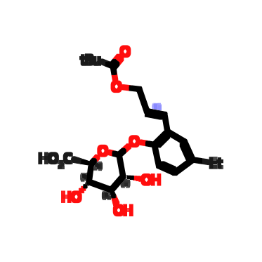 CCc1ccc(OC2O[C@H](C(=O)O)[C@@H](O)[C@H](O)[C@H]2O)c(/C=C/COC(=O)C(C)(C)C)c1